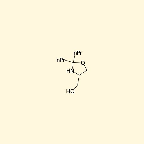 CCCC1(CCC)NC(CO)CO1